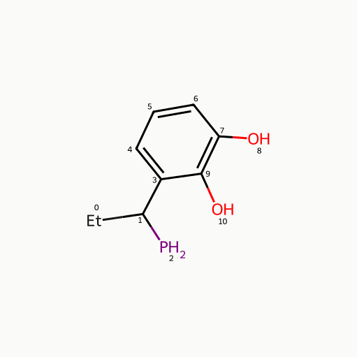 CCC(P)c1cccc(O)c1O